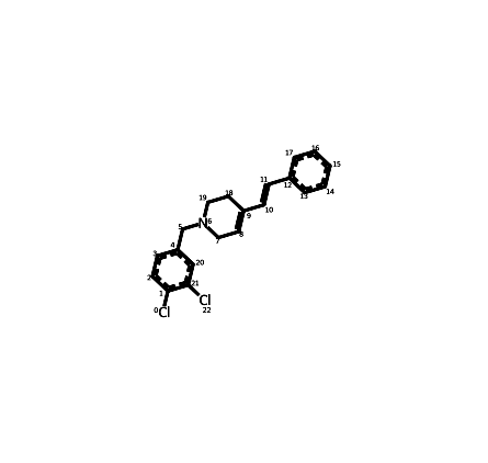 Clc1ccc(CN2CC=C(/C=C/c3ccccc3)CC2)cc1Cl